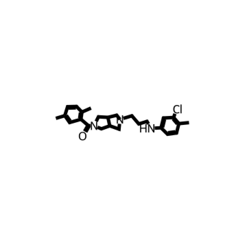 Cc1ccc(C)c(C(=O)N2CC3CN(CCCNc4ccc(C)c(Cl)c4)CC3C2)c1